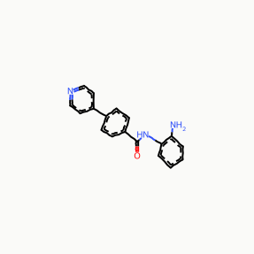 Nc1ccccc1NC(=O)c1ccc(-c2ccncc2)cc1